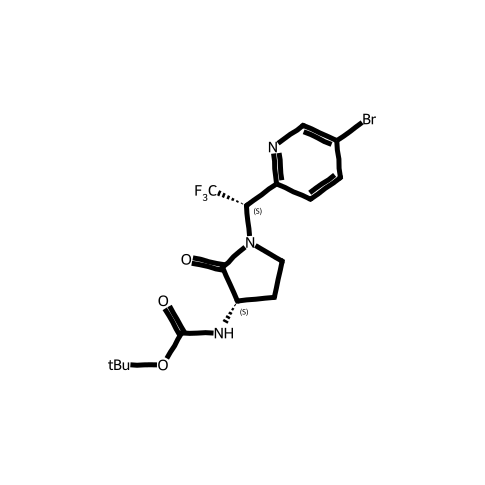 CC(C)(C)OC(=O)N[C@H]1CCN([C@@H](c2ccc(Br)cn2)C(F)(F)F)C1=O